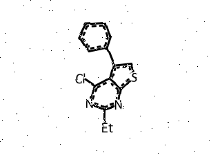 CCc1nc(Cl)c2c(-c3ccccc3)csc2n1